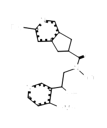 CCCN(CC(O)c1cnccc1OC)C(=O)C1Cc2cnc(C(F)(F)F)cc2C1